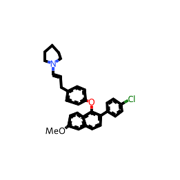 COc1ccc2c(Oc3ccc(CC=CN4CCCCC4)cc3)c(-c3ccc(Cl)cc3)ccc2c1